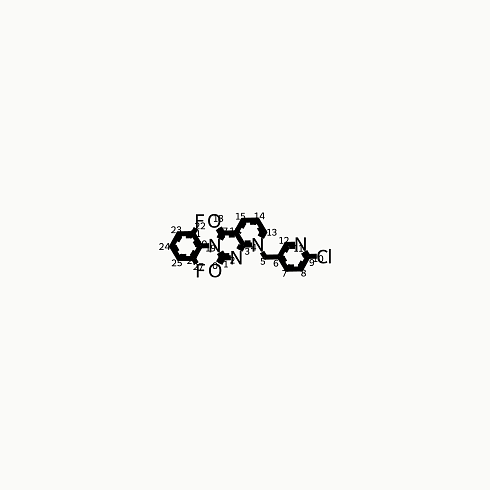 O=c1nc2n(Cc3ccc(Cl)nc3)cccc-2c(=O)n1-c1c(F)cccc1F